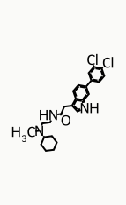 CN(CCNC(=O)Cc1c[nH]c2cc(-c3ccc(Cl)c(Cl)c3)ccc12)C1CCCCC1